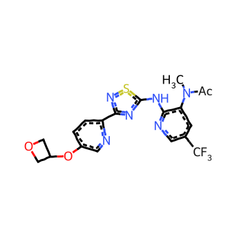 CC(=O)N(C)c1cc(C(F)(F)F)cnc1Nc1nc(-c2ccc(OC3COC3)cn2)ns1